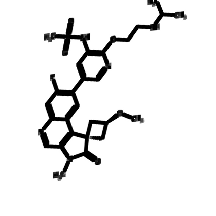 CO[C@H]1C[C@]2(C1)C(=O)N(C)c1cnc3cc(F)c(-c4cnc(OCCNC(C)C)c(NS(C)(=O)=O)c4)cc3c12